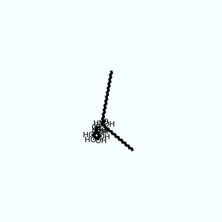 CCCCCCCCCCCCCCCCCCCCCCCC(=O)N[C@@H](COP(=O)(O)OC1C(O)C(O)C(O)[C@@H](O)C1O)[C@H](O)[C@H](O)CCCCCCCCCCCCCCCC